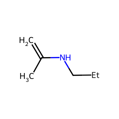 C=C(C)NCCC